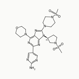 CS(=O)(=O)N1CCN(c2nc3c(N4CCOCC4)nc(-c4cnc(N)nc4)nc3n2[C@H]2CCN(S(C)(=O)=O)C2)CC1